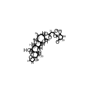 C[C@@H]1C[C@@H]2O[C@@H]3[C@@H](C)[C@H](O)[C@@H]4OC5(CCCO5)[C@@H](C)[C@H](C)[C@H]4O[C@H]3C[C@H]2O[C@H]2COC(CC(=O)ON3C(=O)CCC3=O)O[C@@H]2C1